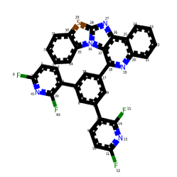 Fc1ccc(-c2cc(-c3ccc(F)nc3F)cc(-c3nc4ccccc4c4nc5sc6ccccc6n5c34)c2)c(F)n1